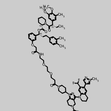 CC[C@H](C(=O)N1CCCC[C@H]1C(=O)O[C@H](CCc1ccc(C)c(C)c1)c1cccc(OCC(=O)NCCOCCOCCC(=O)N2CCC(n3nc(N4CCCc5cc(-c6cnn(C)c6)c(C(F)F)cc54)c4c3CCN(C(C)=O)C4)CC2)c1)c1cc(C)c(OC)c(OC)c1